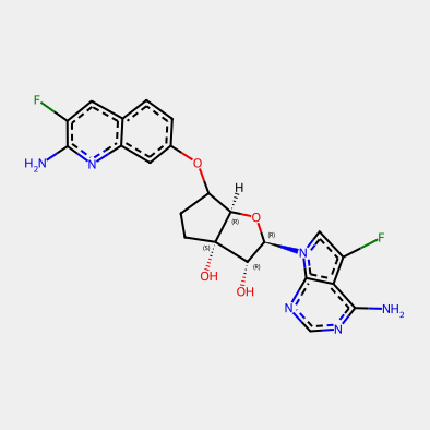 Nc1nc2cc(OC3CC[C@@]4(O)[C@@H]3O[C@@H](n3cc(F)c5c(N)ncnc53)[C@@H]4O)ccc2cc1F